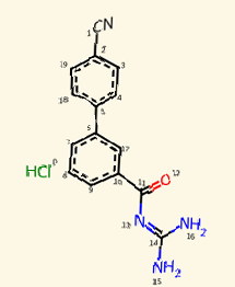 Cl.N#Cc1ccc(-c2cccc(C(=O)N=C(N)N)c2)cc1